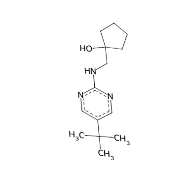 CC(C)(C)c1cnc(NCC2(O)CCCC2)nc1